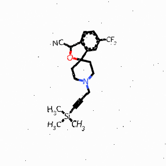 C[Si](C)(C)C#CCN1CCC2(CC1)OC(C#N)c1ccc(C(F)(F)F)cc12